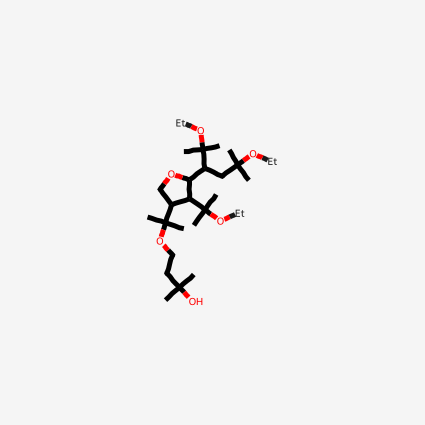 CCOC(C)(C)CC(C1OCC(C(C)(C)OCCC(C)(C)O)C1C(C)(C)OCC)C(C)(C)OCC